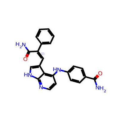 NC(=O)/C(=C\c1c[nH]c2nccc(Nc3ccc(C(N)=O)cc3)c12)c1ccccc1